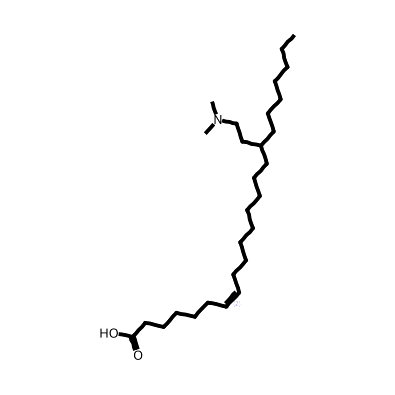 CCCCCCCC(CCCCCCCC/C=C\CCCCCC(=O)O)CCN(C)C